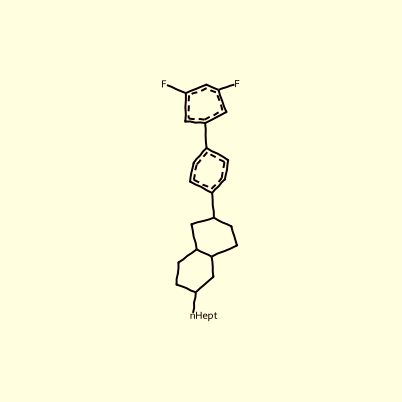 CCCCCCCC1CCC2CC(c3ccc(-c4cc(F)cc(F)c4)cc3)CCC2C1